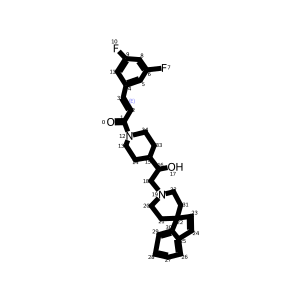 O=C(/C=C/c1cc(F)cc(F)c1)N1CCC(C(O)CN2CCC3(C=Cc4ccccc43)CC2)CC1